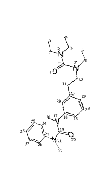 CCN(CC)C(=O)N(CC)CCc1cccc(N(C)C(=O)N(C)c2ccccc2)c1